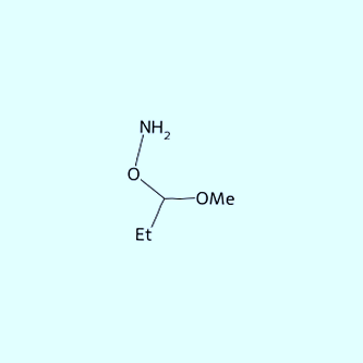 CCC(OC)ON